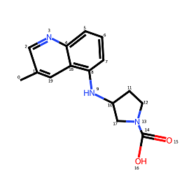 Cc1cnc2cccc(NC3CCN(C(=O)O)C3)c2c1